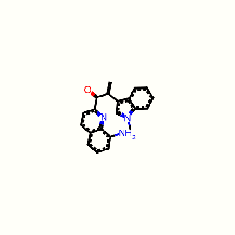 C=C(C(=O)c1ccc2cccc(N)c2n1)c1cn(C)c2ccccc12